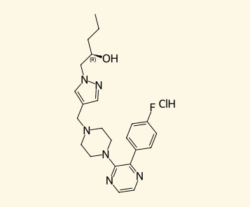 CCC[C@@H](O)Cn1cc(CN2CCN(c3nccnc3-c3ccc(F)cc3)CC2)cn1.Cl